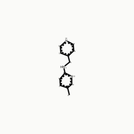 Cc1ccc(NCc2ccncc2)nc1